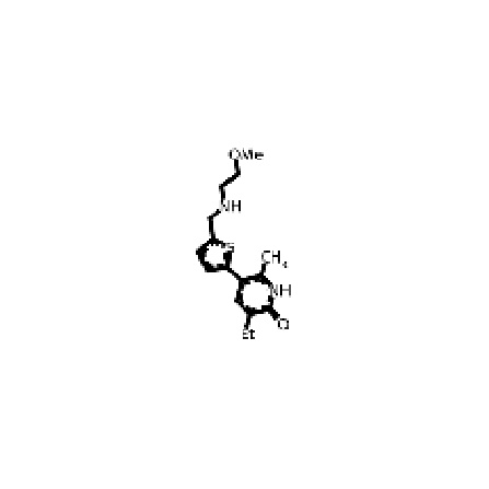 CCc1cc(-c2ccc(CNCCOC)s2)c(C)[nH]c1=O